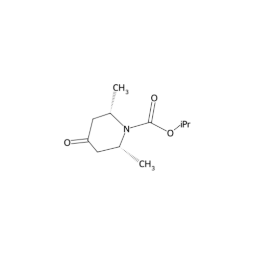 CC(C)OC(=O)N1[C@H](C)CC(=O)C[C@@H]1C